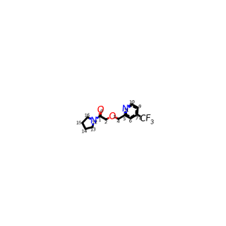 O=C(COCc1cc(C(F)(F)F)ccn1)N1CCCC1